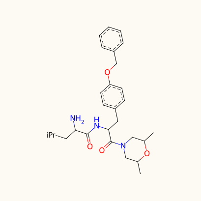 CC(C)CC(N)C(=O)NC(Cc1ccc(OCc2ccccc2)cc1)C(=O)N1CC(C)OC(C)C1